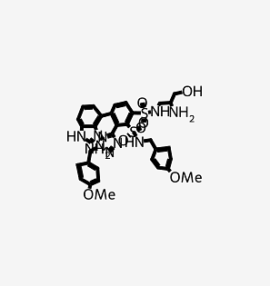 COc1ccc(CNS(=O)(=O)c2c(S(=O)(=O)NCC(N)CO)ccc(-c3cccc4[nH]c(N)nc34)c2-c2nnn(Cc3ccc(OC)cc3)n2)cc1